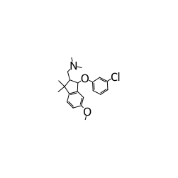 COc1ccc2c(c1)C(Oc1cccc(Cl)c1)C(CN(C)C)C2(C)C